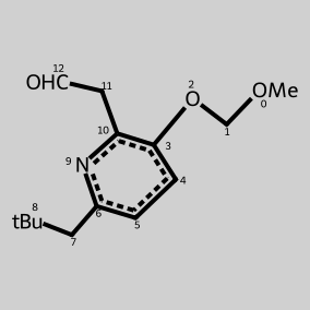 COCOc1ccc(CC(C)(C)C)nc1CC=O